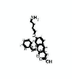 NCCCCOc1ccc2cc(CC(=O)O)c(=O)n(Cc3ccccc3)c2c1